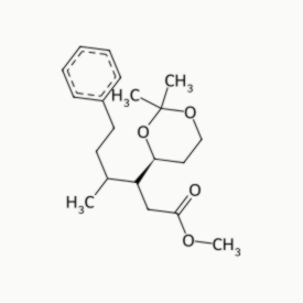 COC(=O)CC(C(C)CCc1ccccc1)[C@@H]1CCOC(C)(C)O1